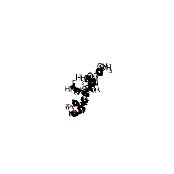 CC(C)c1ccccc1[C@@H]1CN(Cc2ccncc2)CCN1C1CC2(CCN(c3ccc(C(=O)NS(=O)(=O)c4cnc(NC[C@H]5CC[C@](C)(O)CC5)c([NH+](C)[O-])c4)c(Oc4cnc5[nH]cc(F)c5c4)c3)CC2)C1